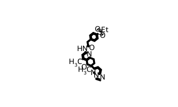 CCS(=O)(=O)c1ccc(CC(=O)Nc2cc(C)c3c(n2)CCC(C)(c2ccc4nccn4n2)C3=O)cc1